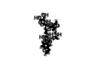 CC(=O)NCSC(C)(C)[C@H](NC(C)=O)C(=O)N(C)[C@@H](CCCNC(=N)NS(=O)(=O)c1c(C)c(C)c2c(c1C)CC(C)(C)O2)C(=O)N[C@@H](CO)C(=O)O